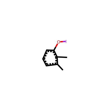 Cc1cccc(OI)c1C